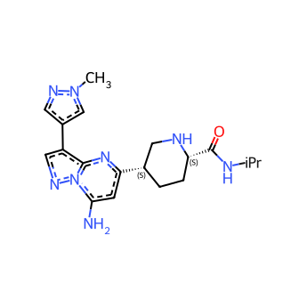 CC(C)NC(=O)[C@@H]1CC[C@H](c2cc(N)n3ncc(-c4cnn(C)c4)c3n2)CN1